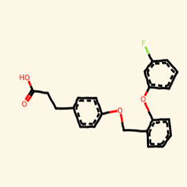 O=C(O)CCc1ccc(OCc2ccccc2Oc2cccc(F)c2)cc1